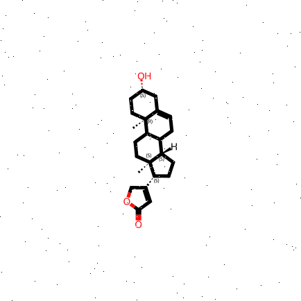 C[C@]12CCC3C(CC=C4C[C@@H](O)CC[C@@]43C)[C@@H]1CC[C@@H]2C1=CC(=O)OC1